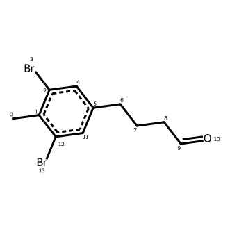 Cc1c(Br)cc(CCCC=O)cc1Br